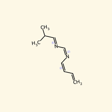 C=C\C=C/N=C\N=C\C(C)C